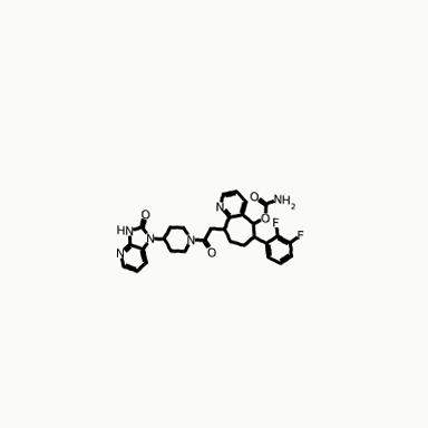 NC(=O)OC1c2cccnc2C(CC(=O)N2CCC(n3c(=O)[nH]c4ncccc43)CC2)CCC1c1cccc(F)c1F